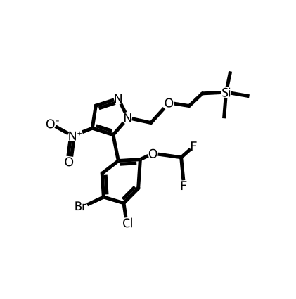 C[Si](C)(C)CCOCn1ncc([N+](=O)[O-])c1-c1cc(Br)c(Cl)cc1OC(F)F